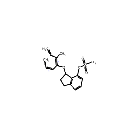 C=C/C(C)=C(\C=C/C)OC1CCc2cccc(OS(=O)(=O)C(F)(F)F)c21